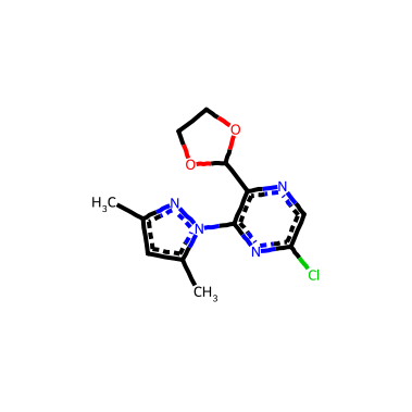 Cc1cc(C)n(-c2nc(Cl)cnc2C2OCCO2)n1